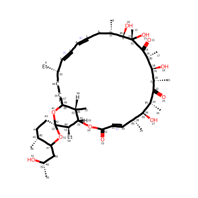 CC[C@@H]1/C=C/C=C/C[C@H](C)[C@@H](O)[C@](C)(O)C(=O)[C@H](C)[C@@H](O)[C@H](C)C(=O)[C@H](C)[C@@H](O)[C@H](C)/C=C/C(=O)O[C@H]2[C@@H](C)[C@@H](CC1)O[C@@]1(CC[C@@H](C)C(C[C@H](C)O)O1)[C@@H]2CC